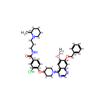 COc1cc2c(N3CCC(Oc4ccc(C(=O)NCCCN5CCCCC5C)cc4Cl)CC3)ncnc2cc1OCc1ccccc1